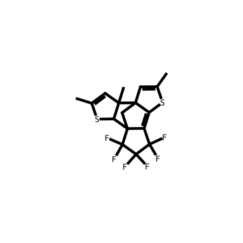 CC1=CC23CC4(C(=C2S1)C(F)(F)C(F)(F)C4(F)F)C1SC(C)=CC13C